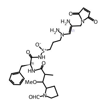 COC(C(C)C(=O)N[C@@H](Cc1ccccc1)C(=O)N[S+]([O-])CCCN(N)/C=C(\N)CN1C(=O)C=CC1=O)C1CCCN1C=O